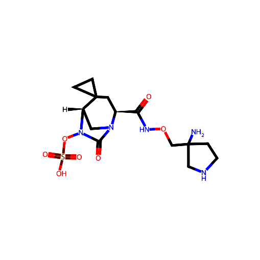 NC1(CONC(=O)[C@@H]2CC3(CC3)[C@@H]3CN2C(=O)N3OS(=O)(=O)O)CCNC1